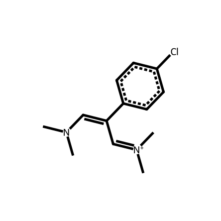 CN(C)C=C(C=[N+](C)C)c1ccc(Cl)cc1